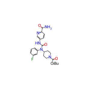 CC(C)COC(=O)N1CCC(N(C(=O)Nc2ccc(C(N)=O)nc2)c2cccc(F)c2)CC1